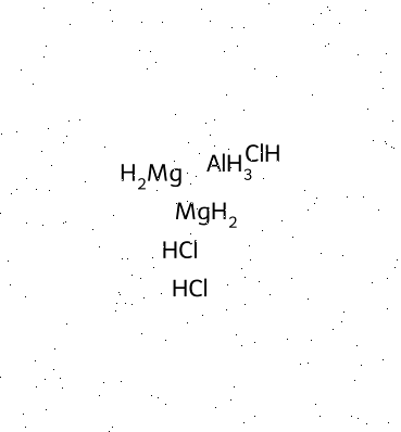 Cl.Cl.Cl.[AlH3].[MgH2].[MgH2]